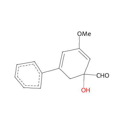 COC1=CC(O)(C=O)CC(c2ccccc2)=C1